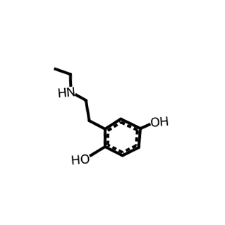 CCNCCc1cc(O)ccc1O